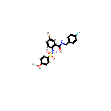 O=C(NCc1ccc(F)cc1)c1cc(Br)ccc1NS(=O)(=O)c1ccc(OF)cc1